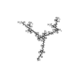 CCC(=O)CCCCCC(NC(=O)CC)C(=O)CC(CCCCNC(=O)CSCC(NC(C)=O)C(=O)NC(CCCCCC(=O)CCSC1CC(=O)N(CCC(=O)CCCS)C1=O)C(=O)NC(CSCC(=O)NCCCCC(NC(=O)C(CCCCNC(=O)CC)NC(=O)CC)C(N)=O)C(N)=O)C(N)=O